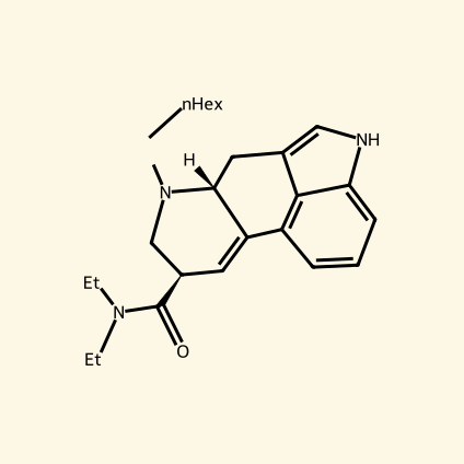 CCN(CC)C(=O)[C@@H]1C=C2c3cccc4[nH]cc(c34)C[C@H]2N(C)C1.CC[CH]CCCC